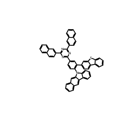 c1ccc2cc(-c3nc(-c4ccc(-n5c6ccccc6c6cc7ccccc7cc65)c(-c5ccc6c(c5)sc5ccccc56)c4)nc(-c4ccc5ccccc5c4)n3)ccc2c1